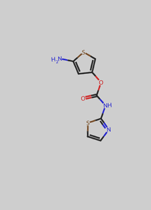 Nc1cc(OC(=O)Nc2nccs2)cs1